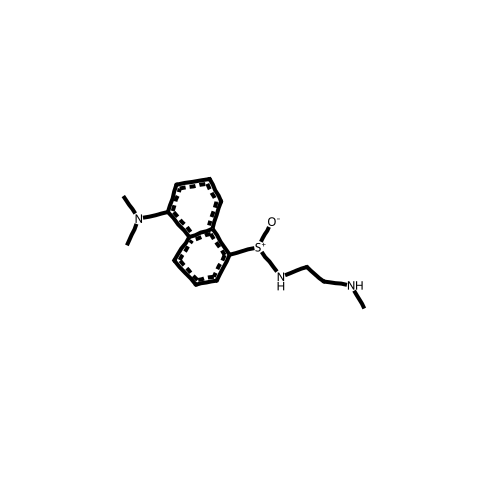 CNCCN[S+]([O-])c1cccc2c(N(C)C)cccc12